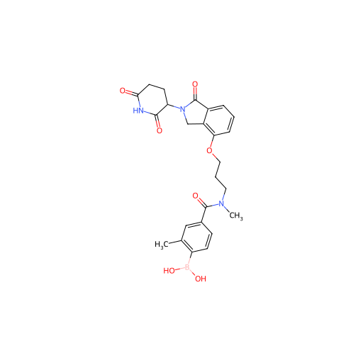 Cc1cc(C(=O)N(C)CCCOc2cccc3c2CN(C2CCC(=O)NC2=O)C3=O)ccc1B(O)O